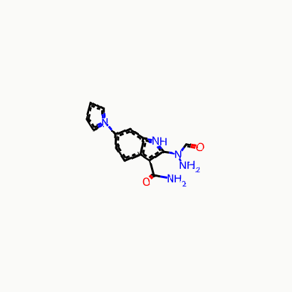 NC(=O)c1c(N(N)C=O)[nH]c2cc(-n3cccc3)ccc12